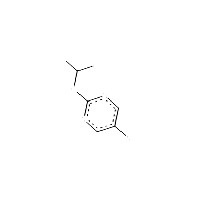 Nc1cnc(OC(F)F)nc1